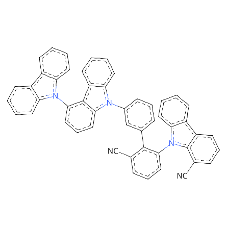 N#Cc1cccc(-n2c3ccccc3c3cccc(C#N)c32)c1-c1cccc(-n2c3ccccc3c3c(-n4c5ccccc5c5ccccc54)cccc32)c1